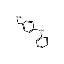 CC(=O)NCc1ccc(Nc2ccccc2)cc1